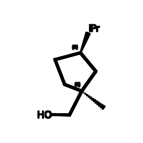 CC(C)[C@@H]1CC[C@](C)(CO)C1